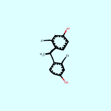 CCc1cc(O)ccc1C(C)c1ccc(O)cc1CC